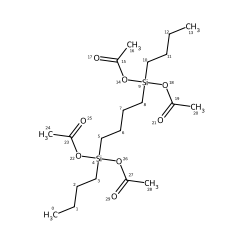 CCCC[Si](CCCC[Si](CCCC)(OC(C)=O)OC(C)=O)(OC(C)=O)OC(C)=O